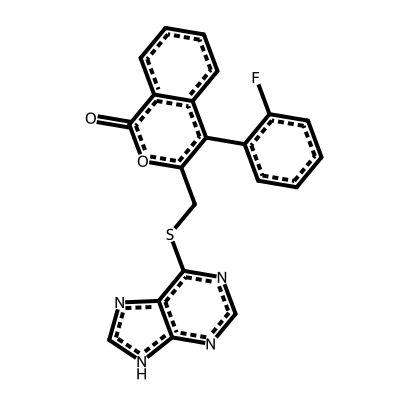 O=c1oc(CSc2ncnc3[nH]cnc23)c(-c2ccccc2F)c2ccccc12